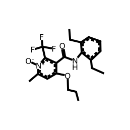 CCCOc1cc(C)[n+]([O-])c(C(F)(F)F)c1C(=O)Nc1c(CC)cccc1CC